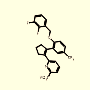 O=C(O)c1cccc(C2=C(c3cc(C(F)(F)F)ccc3OCc3cccc(F)c3F)CCC2)n1